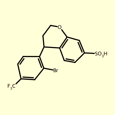 O=S(=O)(O)c1ccc2c(c1)OCCC2c1ccc(C(F)(F)F)cc1Br